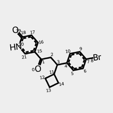 O=C(CC(c1ccc(Br)cc1)C1CCC1)c1ccc(=O)[nH]c1